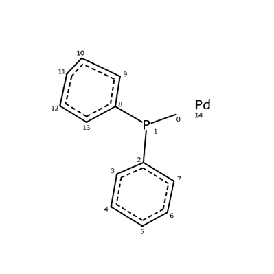 CP(c1ccccc1)c1ccccc1.[Pd]